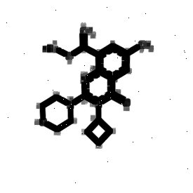 C=C(OCCCC)c1cc(C)cc2c(=O)n(C3CCC3)c(N3CCOCC3)nc12